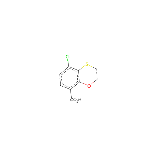 O=C(O)c1ccc(Cl)c2c1OCCS2